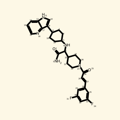 NC(=O)C(NC1CCC(c2c[nH]c3cccnc23)CC1)C1CCN(C(=O)/C=C/c2cc(F)cc(F)c2)CC1